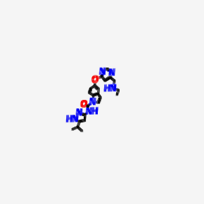 CCNCc1cc(Oc2ccc3c(ccn3C(=O)Nc3cc(C(C)C)[nH]n3)c2)ncn1